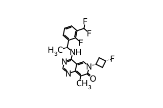 Cc1c(=O)n([C@H]2C[C@@H](F)C2)cc2c(N[C@@H](C)c3cccc(C(F)F)c3F)ncnc12